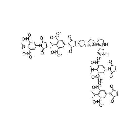 C1=CNCC1.C1=CNCC1.C1=CNCC1.C1=CNCC1.CN(C)c1c([N+](=O)[O-])cc(N2C(=O)C=CC2=O)cc1[N+](=O)[O-].CN(C)c1c([N+](=O)[O-])cc(N2C(=O)C=CC2=O)cc1[N+](=O)[O-].CN(C)c1c([N+](=O)[O-])cc(N2C(=O)C=CC2=O)cc1[N+](=O)[O-].CN(C)c1c([N+](=O)[O-])cc(N2C(=O)C=CC2=O)cc1[N+](=O)[O-]